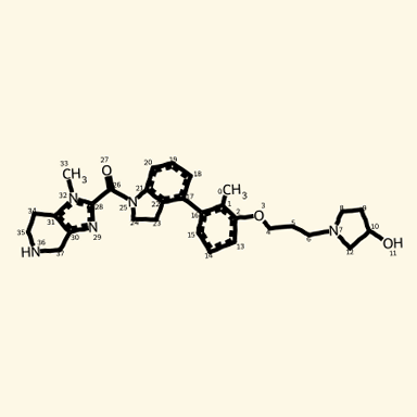 Cc1c(OCCCN2CCC(O)C2)cccc1-c1cccc2c1CCN2C(=O)c1nc2c(n1C)CCNC2